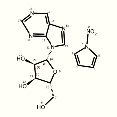 O=[N+]([O-])n1cccc1.OC[C@H]1O[C@@H](n2cnc3cncnc32)[C@H](O)[C@@H]1O